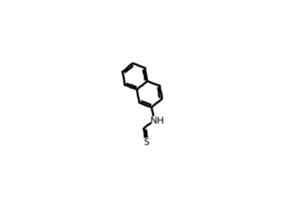 S=CNc1ccc2ccccc2c1